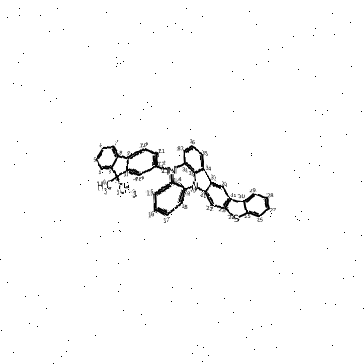 CC1(C)c2ccccc2-c2ccc(N3c4ccccc4-n4c5cc6sc7ccccc7c6cc5c5cccc3c54)cc21